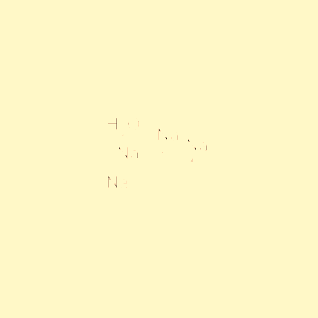 O.[Na].[Na].[Na].[Na]